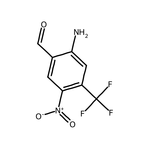 Nc1cc(C(F)(F)F)c([N+](=O)[O-])cc1C=O